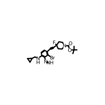 CC(C)(C)OC(=O)N1CCC(F)(C#Cc2ccc(NCC3CC3)c(N=N)c2Br)CC1